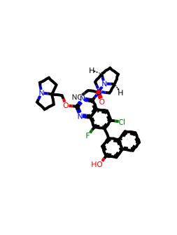 N#CCC(=O)N1[C@@H]2CC[C@H]1CN(c1nc(OCC34CCCN3CCC4)nc3c(F)c(-c4cc(O)cc5ccccc45)c(Cl)cc13)C2